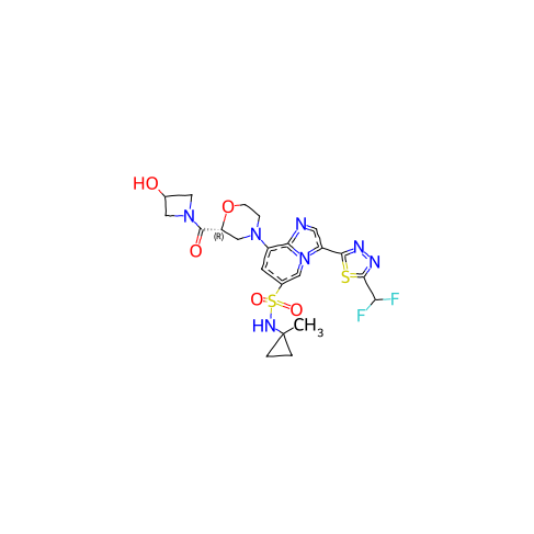 CC1(NS(=O)(=O)c2cc(N3CCO[C@@H](C(=O)N4CC(O)C4)C3)c3ncc(-c4nnc(C(F)F)s4)n3c2)CC1